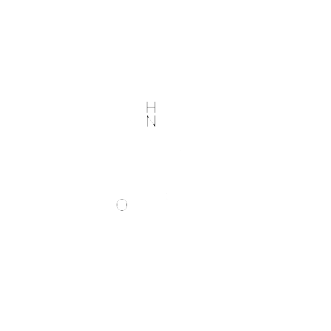 CN[C](C)C(C)=O